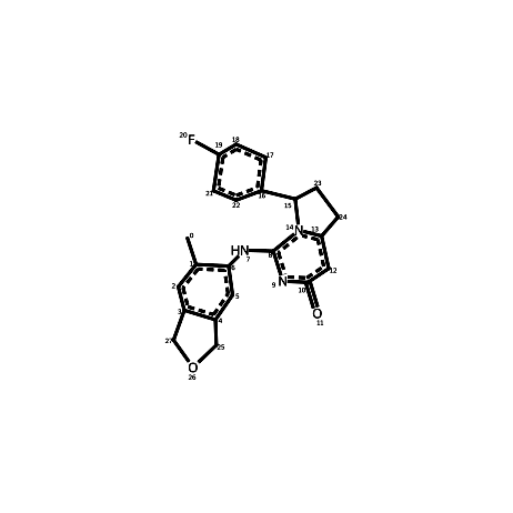 Cc1cc2c(cc1Nc1nc(=O)cc3n1C(c1ccc(F)cc1)CC3)COC2